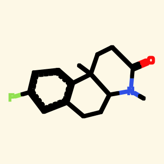 CN1C(=O)CCC2(C)c3ccc(F)cc3CCC12